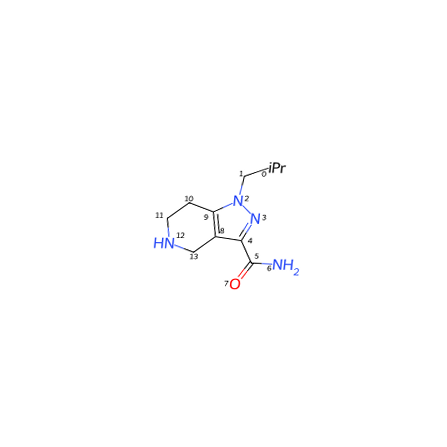 CC(C)Cn1nc(C(N)=O)c2c1CCNC2